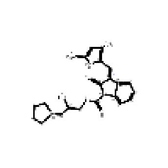 Cc1cc(C)c(/C=C2\C(=O)N(C(=O)OCC(O)CN3CCCC3)c3ccccc32)[nH]1